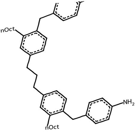 CCCCCCCCc1cc(CCCc2ccc(Cc3ccc(N)cc3)c(CCCCCCCC)c2)ccc1Cc1ccc(N)cc1